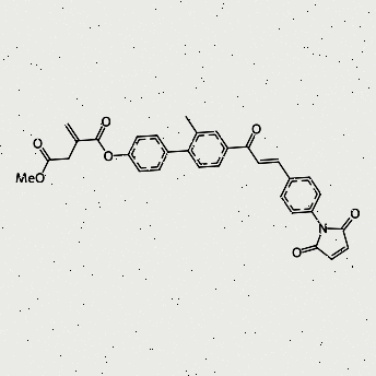 C=C(CC(=O)OC)C(=O)Oc1ccc(-c2ccc(C(=O)/C=C/c3ccc(N4C(=O)C=CC4=O)cc3)cc2C)cc1